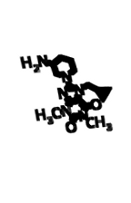 Cn1c(=O)c2c(nc(N3CCCC(N)C3)n2CC2CC2)n(C)c1=O